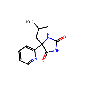 CC(CC1(c2ccccn2)NC(=O)NC1=O)C(=O)O